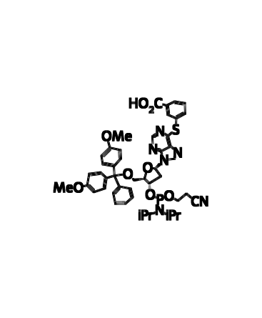 COc1ccc(C(OC[C@H]2O[C@@H](n3cnc4c(Sc5cccc(C(=O)O)c5)ncnc43)C[C@@H]2OP(OCCC#N)N(C(C)C)C(C)C)(c2ccccc2)c2ccc(OC)cc2)cc1